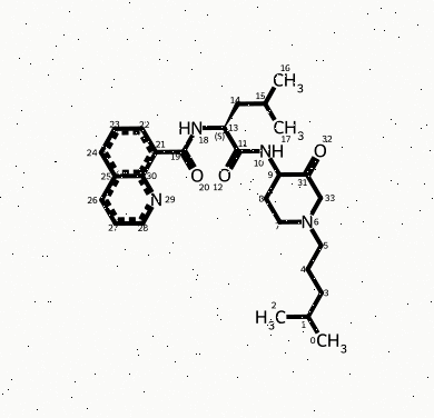 CC(C)CCCN1CCC(NC(=O)[C@H](CC(C)C)NC(=O)c2cccc3cccnc23)C(=O)C1